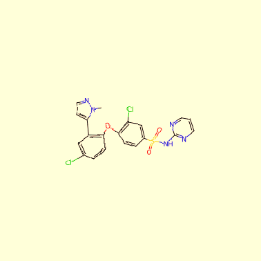 Cn1nccc1-c1cc(Cl)ccc1Oc1ccc(S(=O)(=O)Nc2ncccn2)cc1Cl